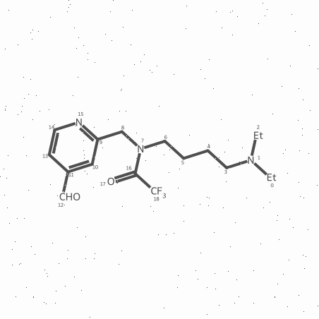 CCN(CC)CCCCN(Cc1cc(C=O)ccn1)C(=O)C(F)(F)F